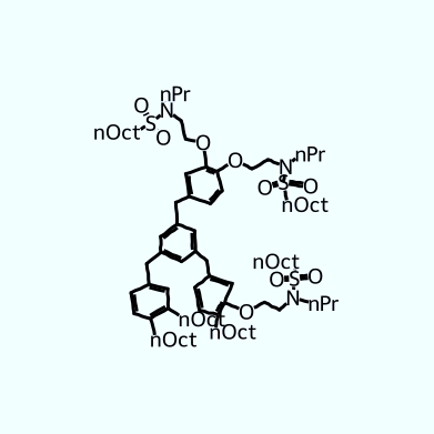 CCCCCCCCc1ccc(Cc2cc(Cc3ccc(CCCCCCCC)c(OCCN(CCC)S(=O)(=O)CCCCCCCC)c3)cc(Cc3ccc(OCCN(CCC)S(=O)(=O)CCCCCCCC)c(OCCN(CCC)S(=O)(=O)CCCCCCCC)c3)c2)cc1CCCCCCCC